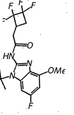 COc1cc(F)cc2c1nc(NC(=O)CC1CC(F)(F)C1(F)F)n2C1(C)CCC1